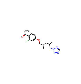 COC(=O)c1ccc(OCC(C)CC(C)Cn2ncnn2)cc1F